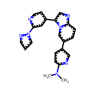 CN(C)c1ccc(-c2ccc3ncc(-c4ccnc(-n5cccn5)c4)n3c2)cn1